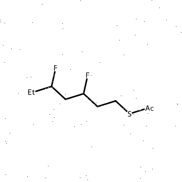 CCC(F)CC(F)CCSC(C)=O